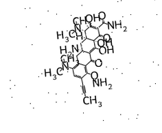 CC#Cc1cc(N(C)C)c2c(c1ON)C(=O)C1=C(O)[C@]3(O)C(=O)C(C(N)=O)=C(O)[C@@H](N(C)C)[C@@H]3C[C@]1(N)C2